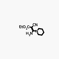 CCOC(=O)C(C#N)=C(N)N1CCCCC1